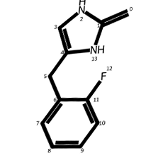 C=C1NC=C(Cc2ccccc2F)N1